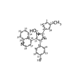 Cc1csc(-c2nc(-c3ccc(F)cc3)c(-c3ccnc4ccccc34)n2O)c1